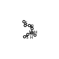 c1ccc(C2NC(c3ccc4oc5ccc(-c6cccc7c6sc6ccccc67)cc5c4c3)=NC(c3ccc4c(c3)sc3ccccc34)N2)cc1